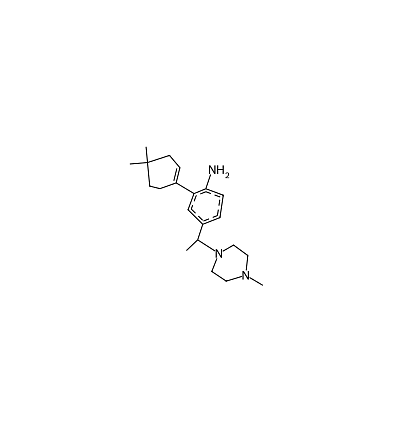 CC(c1ccc(N)c(C2=CCC(C)(C)CC2)c1)N1CCN(C)CC1